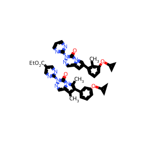 CCOC(=O)c1cnc(-n2ncc3c(C)c(-c4cccc(OC5CC5)c4)c(C)n3c2=O)nc1.Cc1c(OC2CC2)cccc1-c1cc2cnn(-c3ncccn3)c(=O)n2c1